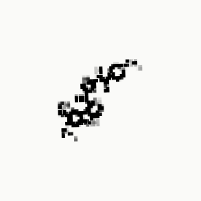 COc1cc2[nH]c3ncnc(Nc4cnc(NC(=S)N5CCN(C)CC5)s4)c3c2cc1OC